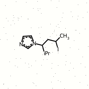 CC(I)CC(C(C)C)n1ccnc1